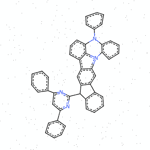 c1ccc(-c2cc(-c3ccccc3)nc(C3c4ccccc4-c4cc5c(cc43)c3cccc4c3n5-c3ccccc3N4c3ccccc3)n2)cc1